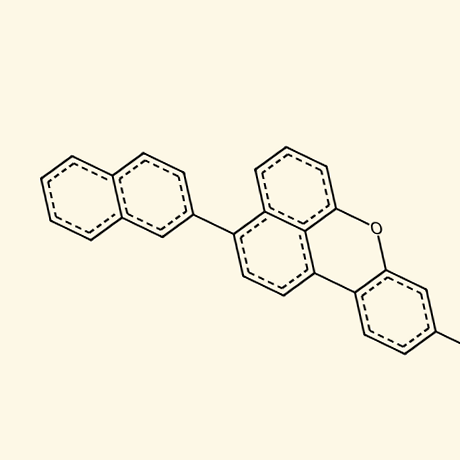 Clc1ccc2c(c1)Oc1cccc3c(-c4ccc5ccccc5c4)ccc-2c13